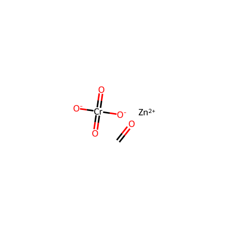 C=O.[O]=[Cr](=[O])([O-])[O-].[Zn+2]